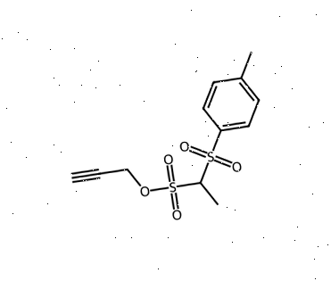 C#CCOS(=O)(=O)C(C)S(=O)(=O)c1ccc(C)cc1